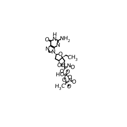 CC[C@]1(COP(=O)(N=O)OP(=O)(O)OP(C)(=O)N=O)O[C@@H](n2cnc3c(=O)[nH]c(N)nc32)C[C@@H]1O